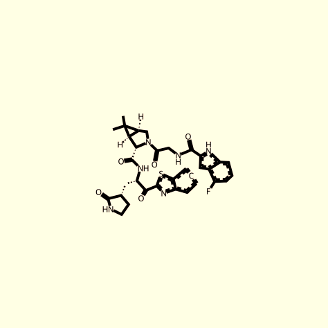 CC1(C)[C@@H]2[C@@H](C(=O)N[C@@H](C[C@@H]3CCNC3=O)C(=O)c3nc4ccccc4s3)N(C(=O)CNC(=O)c3cc4c(F)cccc4[nH]3)C[C@@H]21